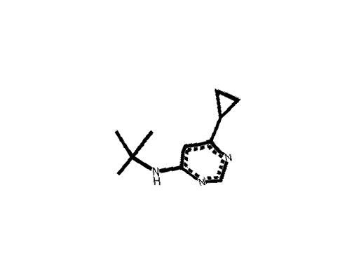 CC(C)(C)Nc1cc(C2CC2)ncn1